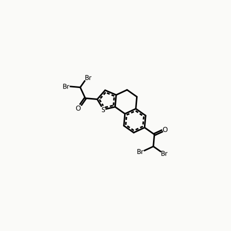 O=C(c1ccc2c(c1)CCc1cc(C(=O)C(Br)Br)sc1-2)C(Br)Br